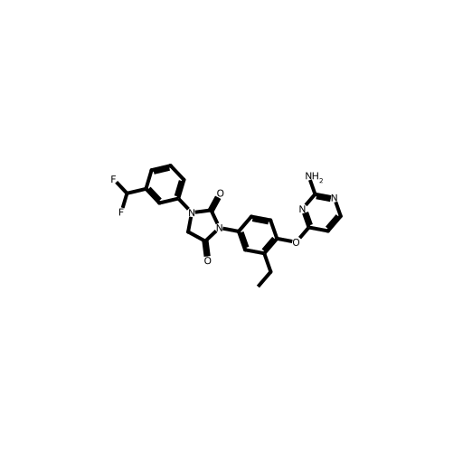 CCc1cc(N2C(=O)CN(c3cccc(C(F)F)c3)C2=O)ccc1Oc1ccnc(N)n1